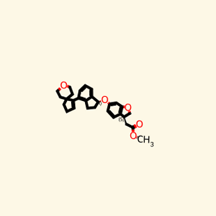 COC(=O)C[C@@H]1COc2cc(O[C@@H]3CCc4c(C5=CCCC56CCOCC6)cccc43)ccc21